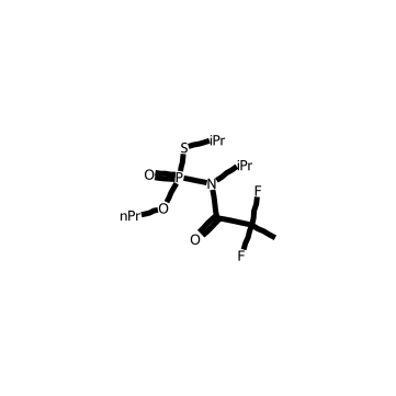 CCCOP(=O)(SC(C)C)N(C(=O)C(C)(F)F)C(C)C